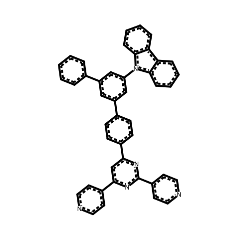 c1ccc(-c2cc(-c3ccc(-c4cc(-c5ccncc5)nc(-c5ccncc5)n4)cc3)cc(-n3c4ccccc4c4ccccc43)c2)cc1